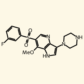 COc1c(S(=O)(=O)c2cccc(F)c2)cnc2c(N3CCNCC3)c[nH]c12